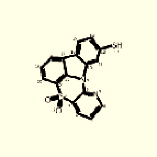 O=S1(=O)c2cccnc2-n2c3cc(S)ccc3c3cccc1c32